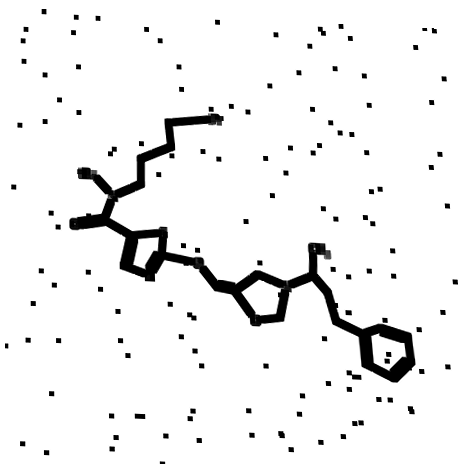 CC(C)CCCCN(C(=O)c1cnc(OC=C2CN(C(C)CCc3ccccc3)CO2)s1)C(C)(C)C